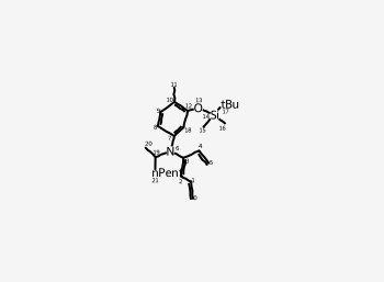 C=C/C=C(\C=C)N(c1ccc(C)c(O[Si](C)(C)C(C)(C)C)c1)C(C)CCCCC